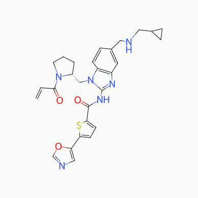 C=CC(=O)N1CCC[C@@H]1Cn1c(NC(=O)c2ccc(-c3cnco3)s2)nc2cc(CNCC3CC3)ccc21